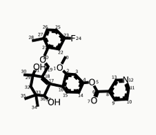 COc1cc(OC(=O)c2cccnc2)ccc1C1=C(COc2cc(F)ccc2C)C(C)(O)CC(C)(C)C1O